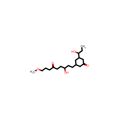 CCC(O)C1CC(=O)CC(CCC(O)CCC(=O)CCCOC)C1